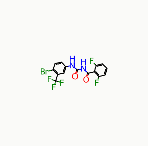 O=C(NC(=O)c1c(F)cccc1F)Nc1ccc(Br)c(C(F)(F)F)c1